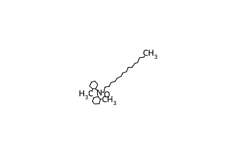 CCCCCCCCCCCCCCCC(=O)N(C1CCCCC1C)C1CCCCC1C